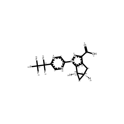 O=C(O)c1nn(-c2cnc(C(F)(F)C(F)(F)F)cn2)c2c1C[C@H]1C[C@@H]21